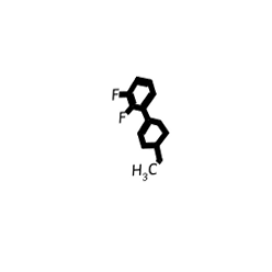 CCC1CC=C(c2cccc(F)c2F)CC1